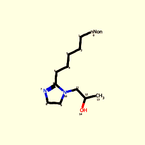 CCCCCCCCCCCCCCC1=NCCN1CC(C)O